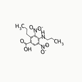 CCCNc1c([N+](=O)[O-])cc(C(=O)O)c(CCC)c1[N+](=O)[O-]